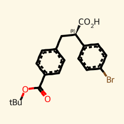 CC(C)(C)OC(=O)c1ccc(C[C@@H](C(=O)O)c2ccc(Br)cc2)cc1